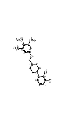 COc1cc(OCN2CCN(c3cccc(Cl)c3Cl)CC2)cc(N)c1OC